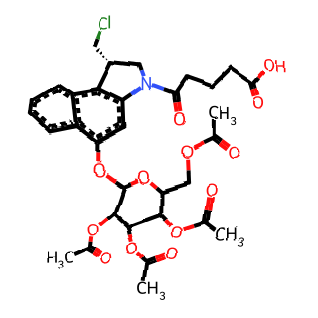 CC(=O)OCC1OC(Oc2cc3c(c4ccccc24)[C@H](CCl)CN3C(=O)CCCC(=O)O)C(OC(C)=O)C(OC(C)=O)C1OC(C)=O